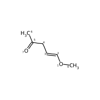 COC=CCC(C)=O